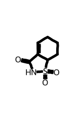 O=C1NS(=O)(=O)C2CCCC=C12